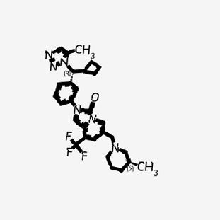 Cc1cnnn1[C@@H](c1cccc(-n2cc3c(C(F)(F)F)cc(CN4CCC[C@H](C)C4)cn3c2=O)c1)C1CCC1